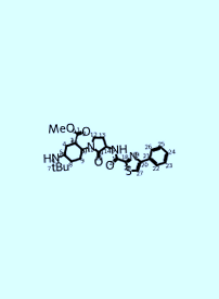 COC(=O)[C@@H]1C[C@H](NC(C)(C)C)CC[C@@H]1N1CCC(NC(=O)c2nc(-c3ccccc3)cs2)C1=O